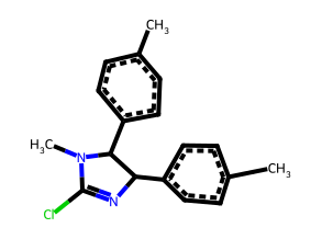 Cc1ccc(C2N=C(Cl)N(C)C2c2ccc(C)cc2)cc1